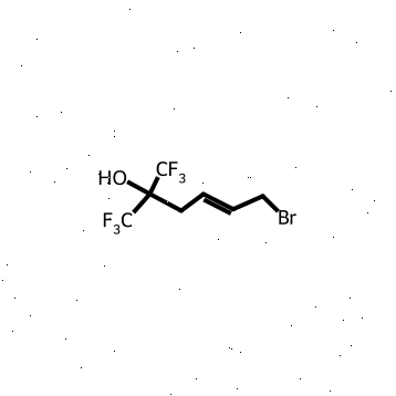 OC(CC=CCBr)(C(F)(F)F)C(F)(F)F